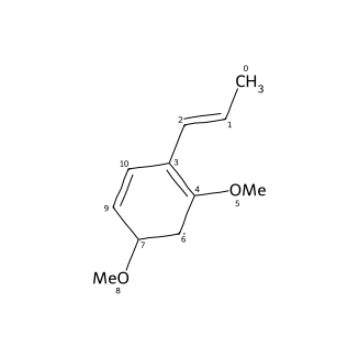 CC=CC1=C(OC)[CH]C(OC)C=C1